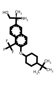 CC(C)(C)C1CCC(Oc2ccc3cc([C@@](C)(N)CO)ccc3c2C(F)(F)F)CC1